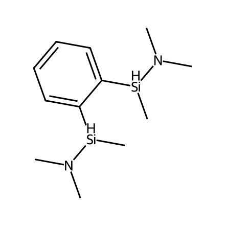 CN(C)[SiH](C)c1ccccc1[SiH](C)N(C)C